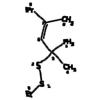 CCSSC(C)(P)/C=C(\C)C(C)C